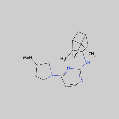 CNC1CCN(c2ccnc(NC3CC4CC(C3C)C4(C)C)n2)C1